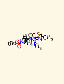 Cc1csc(C(C)(C)NC(=O)[C@H]2[C@@H]3CN(C(=O)OC(C)(C)C)C[C@@H]32)n1